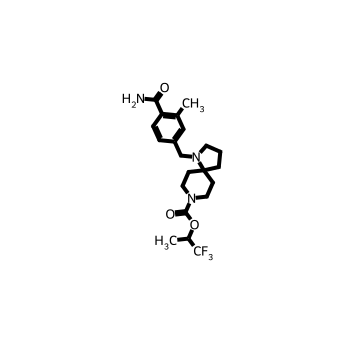 Cc1cc(CN2CCCC23CCN(C(=O)OC(C)C(F)(F)F)CC3)ccc1C(N)=O